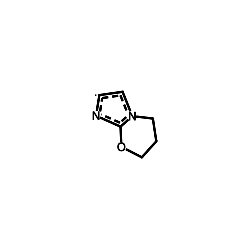 [c]1cn2c(n1)OCCC2